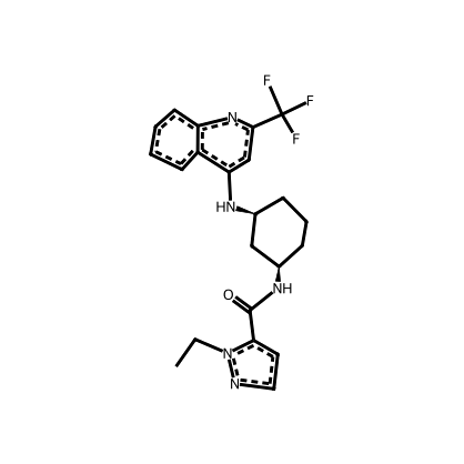 CCn1nccc1C(=O)N[C@@H]1CCC[C@H](Nc2cc(C(F)(F)F)nc3ccccc23)C1